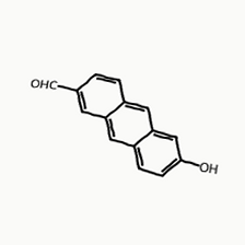 O=Cc1ccc2cc3cc(O)ccc3cc2c1